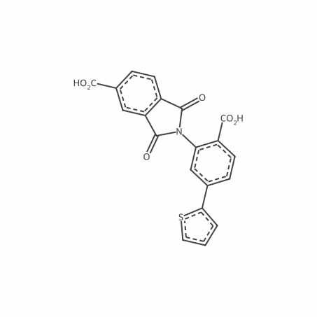 O=C(O)c1ccc2c(c1)C(=O)N(c1cc(-c3cccs3)ccc1C(=O)O)C2=O